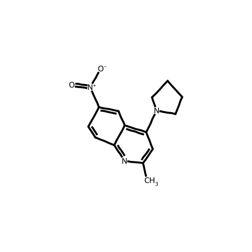 Cc1cc(N2CCCC2)c2cc([N+](=O)[O-])ccc2n1